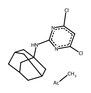 CC(C)=O.Clc1cc(Cl)nc(NC23CC4CC(CC(C4)C2)C3)n1